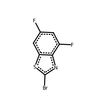 Fc1cc(F)c2nc(Br)sc2c1